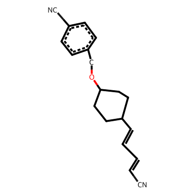 N#CC=CC=CC1CCC(OCc2ccc(C#N)cc2)CC1